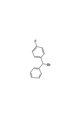 Fc1ccc(C(Br)c2ccccc2)cc1